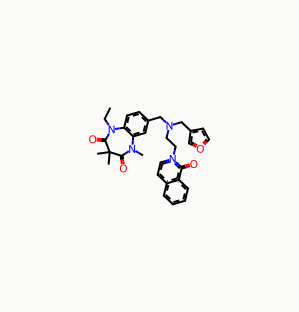 CCN1C(=O)C(C)(C)C(=O)N(C)c2cc(CN(CCn3ccc4ccccc4c3=O)Cc3ccoc3)ccc21